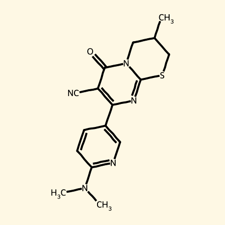 CC1CSc2nc(-c3ccc(N(C)C)nc3)c(C#N)c(=O)n2C1